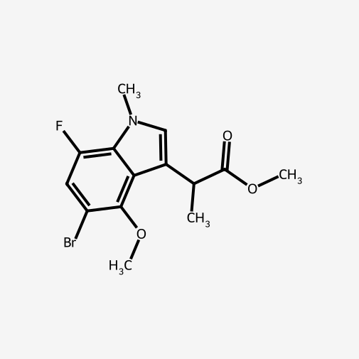 COC(=O)C(C)c1cn(C)c2c(F)cc(Br)c(OC)c12